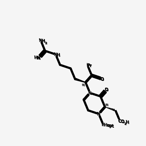 CCCCCCCN1CCN([C@@H](CCCNC(=N)N)C(=O)C(C)C)C(=O)[C@@H]1CC(=O)O